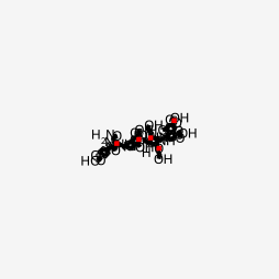 NC(=O)C1=NN(c2ccc(S(=O)(=O)O)cc2)C(=O)C1NNc1ccc2c(O)c(NNc3cc(OCCO)c(NNc4ccc(S(=O)(=O)O)c5cc(S(=O)(=O)O)cc(O)c45)cc3OCCO)c(S(=O)(=O)O)cc2c1